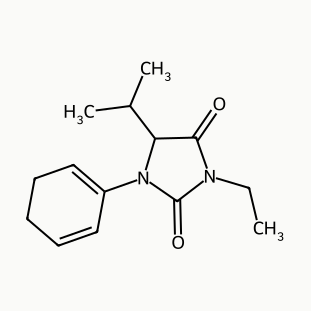 CCN1C(=O)C(C(C)C)N(C2=CCCC=C2)C1=O